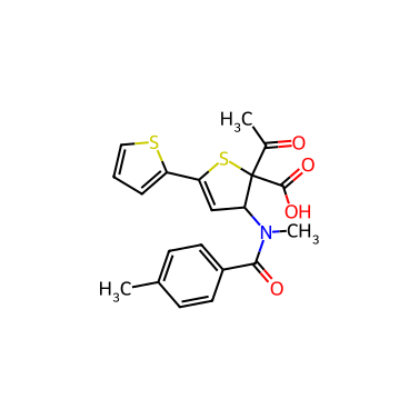 CC(=O)C1(C(=O)O)SC(c2cccs2)=CC1N(C)C(=O)c1ccc(C)cc1